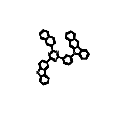 c1cc(-c2nc(-c3ccc4ccccc4c3)nc(-c3ccc4sc5ccccc5c4c3)n2)cc(-n2c3ccccc3c3cc4ccccc4cc32)c1